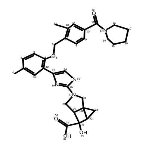 Cc1ccc(OCc2ccc(C(=O)N3CCCCC3)cc2C)c(-c2csc(N3CC4C5(CC5C4(O)C(=O)O)C3)n2)c1